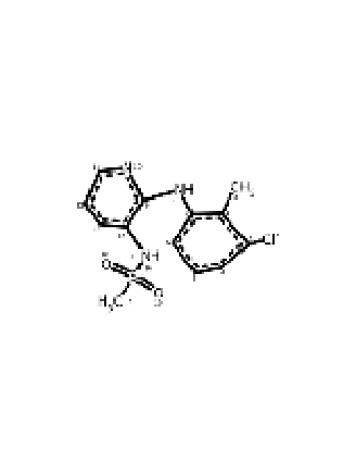 Cc1c(Cl)cccc1Nc1ncccc1NS(C)(=O)=O